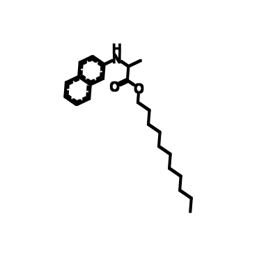 CCCCCCCCCCCOC(=O)C(C)Nc1ccc2ccccc2c1